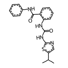 CC(C)c1cnc(NC(=O)Nc2ccccc2C(=O)Nc2ccccc2)s1